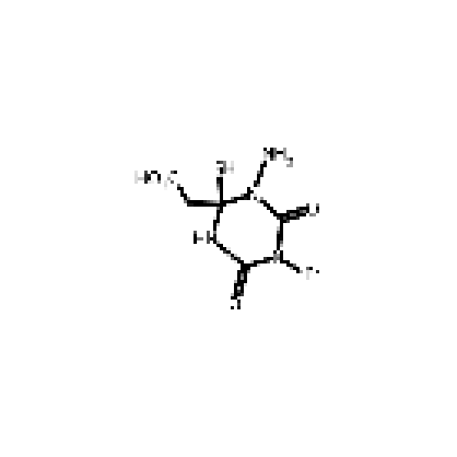 CC(C)N1C(=O)NC(S)(CC(=O)O)N(N)C1=O